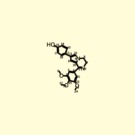 COc1cc(C2=NCCn3cc(-c4ccc(O)cc4)cc32)cc(OC)c1OC